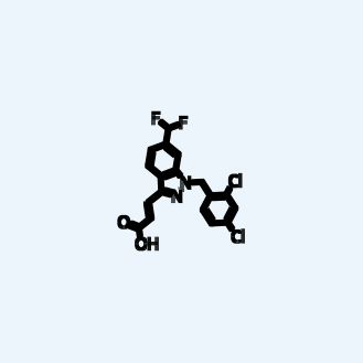 O=C(O)/C=C/c1nn(Cc2ccc(Cl)cc2Cl)c2cc(C(F)F)ccc12